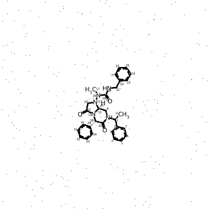 C[C@@H](c1ccccc1)N1C[C@H]2N(C(=O)CN2N(C)C(=O)NCc2ccccc2)[C@@H](c2ccccc2)C1=O